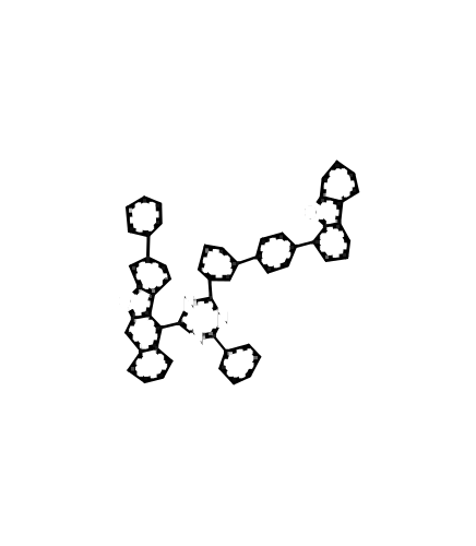 c1ccc(-c2ccc3c(c2)oc2cc4ccccc4c(-c4nc(-c5ccccc5)nc(-c5cccc(-c6ccc(-c7cccc8c7oc7ccccc78)cc6)c5)n4)c23)cc1